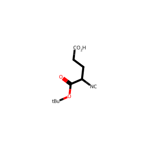 [C-]#[N+]C(CCC(=O)O)C(=O)OC(C)(C)C